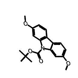 COc1ccc2c3ccc(OC)cc3n(C(=O)OC(C)(C)C)c2c1